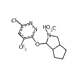 O=C(O)N1CC2CCCC2C1Oc1nnc(Cl)cc1C(F)(F)F